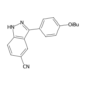 CC(C)COc1ccc(-c2n[nH]c3ccc(C#N)cc23)cc1